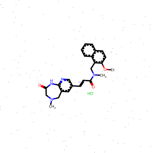 CCOc1ccc2ccccc2c1CN(C)C(=O)/C=C/c1cnc2c(c1)CN(C)CC(=O)N2.Cl